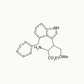 CCOC(=O)C(N)C(COC)c1c[nH]c2cccc(Cc3ccccc3)c12